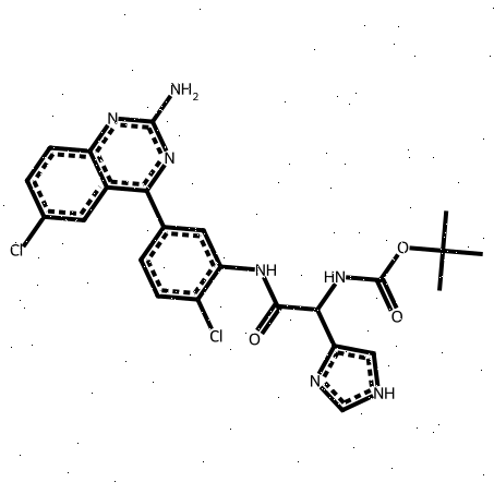 CC(C)(C)OC(=O)NC(C(=O)Nc1cc(-c2nc(N)nc3ccc(Cl)cc23)ccc1Cl)c1c[nH]cn1